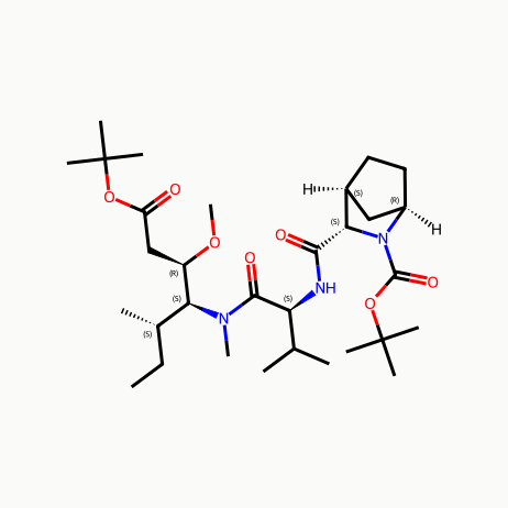 CC[C@H](C)[C@@H]([C@@H](CC(=O)OC(C)(C)C)OC)N(C)C(=O)[C@@H](NC(=O)[C@@H]1[C@H]2CC[C@H](C2)N1C(=O)OC(C)(C)C)C(C)C